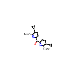 COc1nc(C(=O)c2ccc(C3CC3)c(OC)n2)ccc1C1CC1